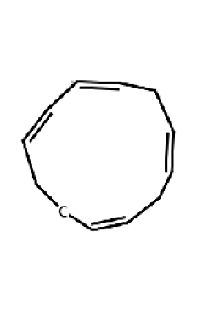 [C]1=CCC=CCC=CCCC=C1